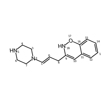 C(=CN1CCNCC1)CC1=Cc2ccccc2ON1